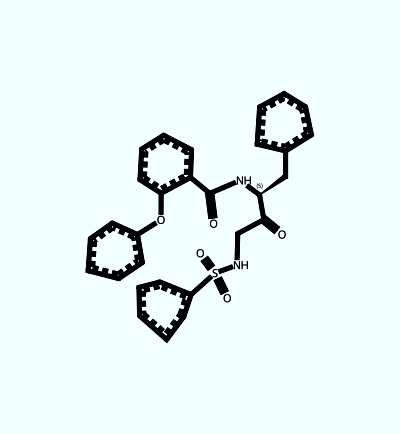 O=C(N[C@@H](Cc1ccccc1)C(=O)CNS(=O)(=O)c1ccccc1)c1ccccc1Oc1ccccc1